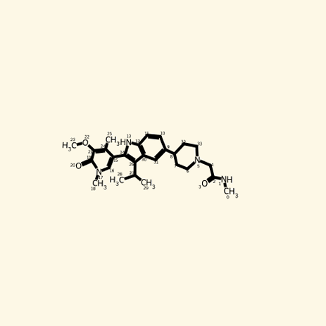 CNC(=O)CN1CCC(c2ccc3[nH]c(-c4cn(C)c(=O)c(OC)c4C)c(C(C)C)c3c2)CC1